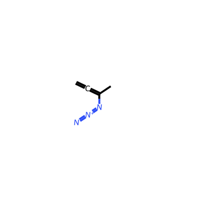 C=C=C(C)N=[N+]=[N-]